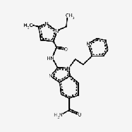 CCn1nc(C)cc1C(=O)Nc1nc2cc(C(N)=O)ccc2n1CCc1ccccn1